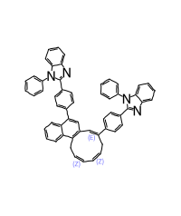 C1=C\C/C(c2ccc(-c3nc4ccccc4n3-c3ccccc3)cc2)=C\c2cc(-c3ccc(-c4nc5ccccc5n4-c4ccccc4)cc3)c3ccccc3c2C\C=C/1